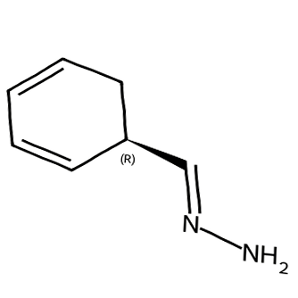 NN=C[C@H]1C=CC=CC1